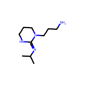 CC(C)/N=C1\NCCCN1CCCN